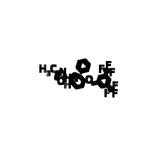 Cc1coc([C@@H]2C[C@]3(c4ccccc4)N[C@H]2CC[C@H]3OCc2cc(C(F)(F)F)cc(C(F)(F)F)c2)n1